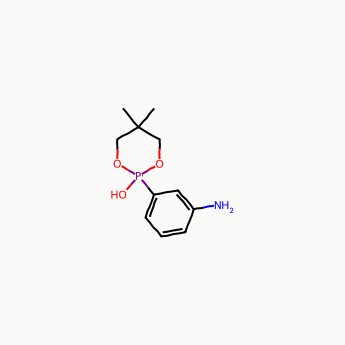 CC1(C)CO[P](O)(c2cccc(N)c2)OC1